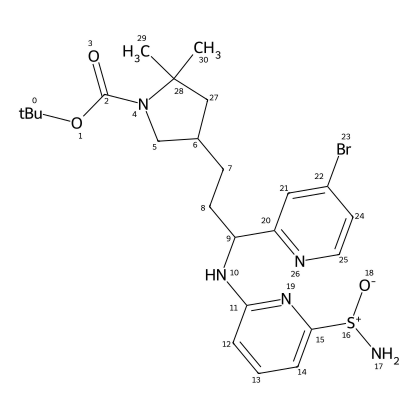 CC(C)(C)OC(=O)N1CC(CCC(Nc2cccc([S+](N)[O-])n2)c2cc(Br)ccn2)CC1(C)C